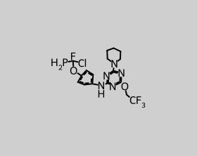 FC(F)(F)COc1nc(Nc2ccc(OC(F)(P)Cl)cc2)nc(N2CCCCC2)n1